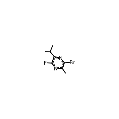 Cc1nc(F)c(C(C)C)nc1Br